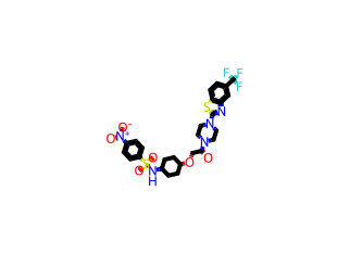 O=C(COC1CCC(NS(=O)(=O)c2ccc([N+](=O)[O-])cc2)CC1)N1CCN(c2nc3cc(C(F)(F)F)ccc3s2)CC1